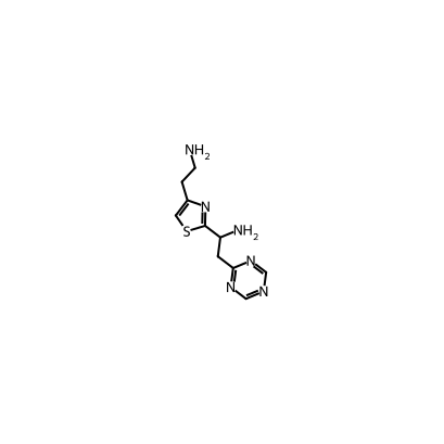 NCCc1csc(C(N)Cc2ncncn2)n1